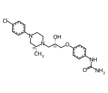 C[C@@H]1CN(c2ccc(Cl)cc2)CCN1C[C@H](O)COc1ccc(NC(N)=O)cc1